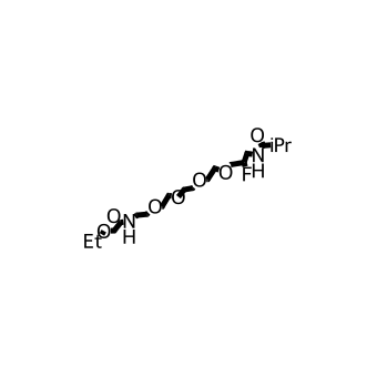 CCOCC(=O)NCCOCCOCCOCCOCC(F)CNC(=O)C(C)C